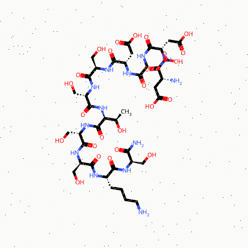 C[C@@H](O)[C@H](NC(=O)[C@H](CO)NC(=O)[C@@H](CO)NC(=O)[C@H](CC(=O)O)NC(=O)[C@@H](CC(=O)O)NC(=O)[C@H](CC(=O)O)NC(=O)[C@H](N)CC(=O)O)C(=O)N[C@@H](CO)C(=O)N[C@H](CO)C(=O)N[C@@H](CCCCN)C(=O)N[C@H](CO)C(N)=O